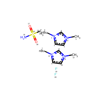 CCCC[n+]1ccn(C)c1.CCCC[n+]1ccn(C)c1.CS(N)(=O)=O.[F-].[F-]